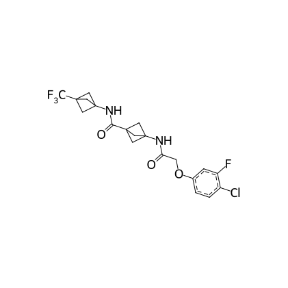 O=C(COc1ccc(Cl)c(F)c1)NC12CC(C(=O)NC34CC(C(F)(F)F)(C3)C4)(C1)C2